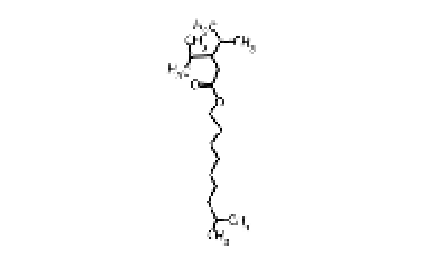 CC(C)CCCCCCCOC(=O)CC(C(C)C)C(C)C